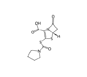 O=C(O)C1=C(SC(=O)N2CCCC2)S[C@H]2CC(=O)N12